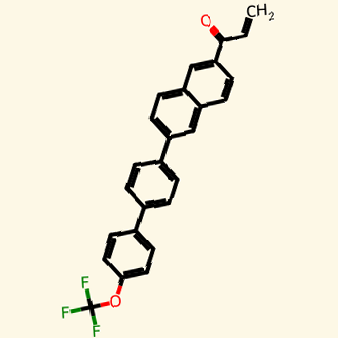 C=CC(=O)c1ccc2cc(-c3ccc(-c4ccc(OC(F)(F)F)cc4)cc3)ccc2c1